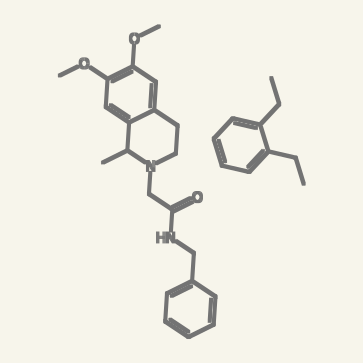 CCc1ccccc1CC.COc1cc2c(cc1OC)C(C)N(CC(=O)NCc1ccccc1)CC2